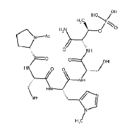 CC(=O)N1CCC[C@H]1C(=O)N[C@@H](CC(C)C)C(=O)N[C@@H](Cc1cncn1C)C(=O)N[C@@H](CO)C(=O)N[C@H](C(N)=O)[C@@H](C)OP(=O)(O)O